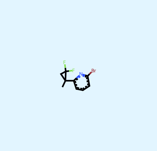 CC1(c2cccc(Br)n2)CC1(F)F